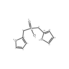 O=P(Cl)(Cc1ccco1)Cc1ccco1